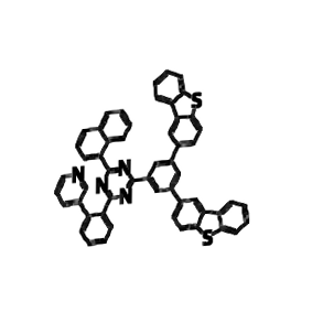 c1cncc(-c2ccccc2-c2nc(-c3cc(-c4ccc5sc6ccccc6c5c4)cc(-c4ccc5sc6ccccc6c5c4)c3)nc(-c3cccc4ccccc34)n2)c1